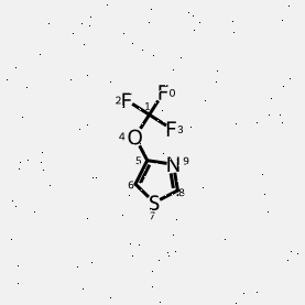 FC(F)(F)Oc1cs[c]n1